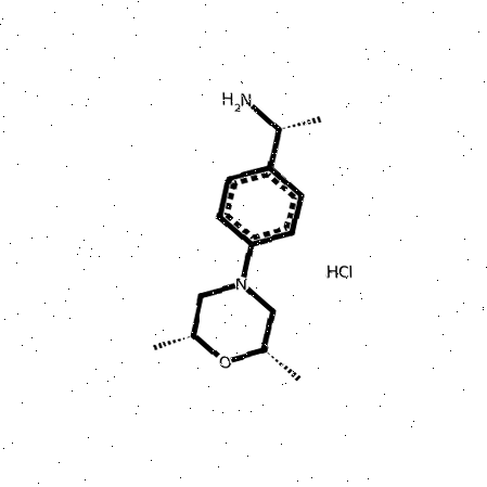 C[C@@H]1CN(c2ccc([C@@H](C)N)cc2)C[C@H](C)O1.Cl